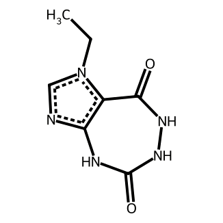 CCn1cnc2c1C(=O)NNC(=O)N2